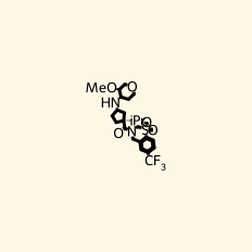 CO[C@H]1COCC[C@H]1N[C@@H]1CC[C@@](C(=O)N2Cc3cc(C(F)(F)F)ccc3S(=O)(=O)C2)(C(C)C)C1